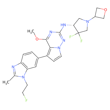 COc1nc(N[C@@H]2CN(C3COC3)CC2(F)F)nn2ccc(-c3ccc4nc(C)n(CCF)c4c3)c12